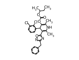 CCC(C)OC(=O)OC1=C(C)NC(C)=C(c2nc(Cc3ccccc3)no2)C1c1cccc(Cl)c1Cl